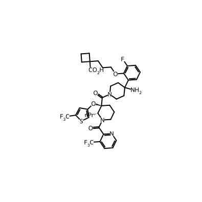 CCC[C@H]1N(C(=O)c2ncccc2C(F)(F)F)CCC[C@@]1(Oc1csc(C(F)(F)F)c1)C(=O)N1CCC(N)(c2cccc(F)c2OCCCC2(C(=O)O)CCC2)CC1